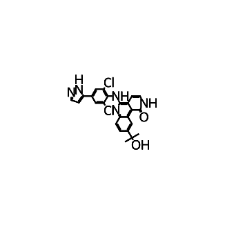 CC(C)(O)c1ccc2nc(Nc3c(Cl)cc(-c4ccn[nH]4)cc3Cl)c3cc[nH]c(=O)c3c2c1